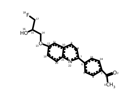 CC(=O)c1ccc(-c2ccc3cc(OCC(O)CF)ccc3n2)cc1